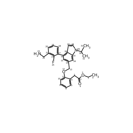 CCOC(=O)Cc1ccccc1OCc1cc(-c2cccc(CN)c2F)c2ccn(C(C)C)c2c1